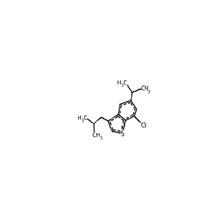 CC(C)Cc1csc2c(Cl)cc(C(C)C)cc12